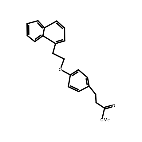 COC(=O)CCc1ccc(OCCc2cccc3ccccc23)cc1